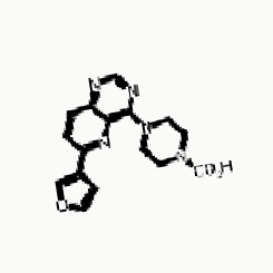 O=C(O)N1CCN(c2ncnc3ccc(-c4ccoc4)nc23)CC1